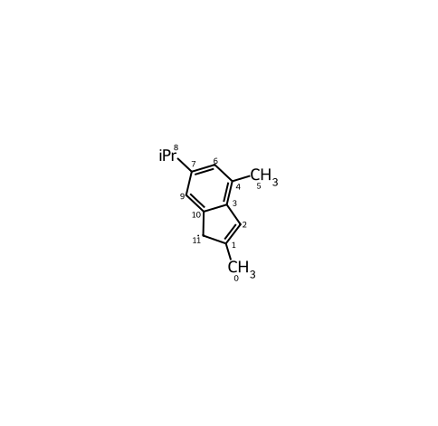 CC1=Cc2c(C)cc(C(C)C)cc2[CH]1